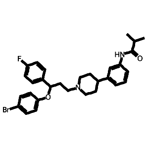 CC(C)C(=O)Nc1cccc(C2CCN(CCC(Oc3ccc(Br)cc3)c3ccc(F)cc3)CC2)c1